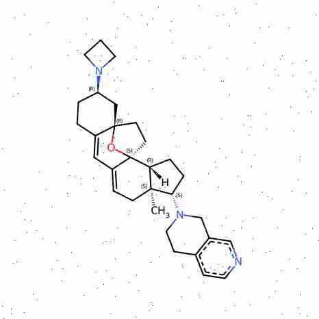 C[C@]12CC=C3C=C4CC[C@@H](N5CCC5)C[C@]45CC[C@]3(O5)[C@@H]1CC[C@@H]2N1CCc2ccncc2C1